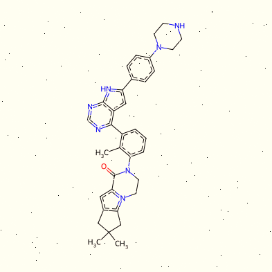 Cc1c(-c2ncnc3[nH]c(-c4ccc(N5CCNCC5)cc4)cc23)cccc1N1CCn2c(cc3c2CC(C)(C)C3)C1=O